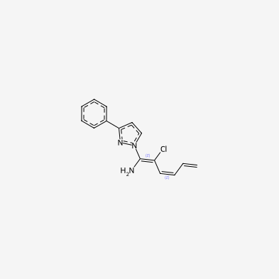 C=C/C=C\C(Cl)=C(/N)n1ccc(-c2ccccc2)n1